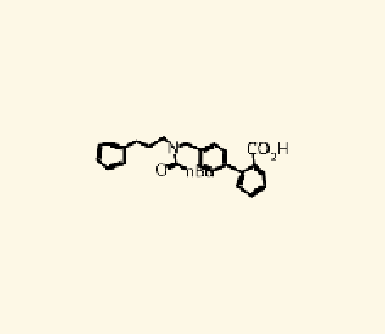 CCCCC(=O)N(CCCc1ccccc1)Cc1ccc(-c2ccccc2C(=O)O)cc1